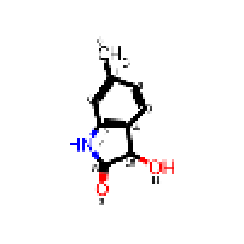 Cc1ccc2c(c1)NC(=O)C2O